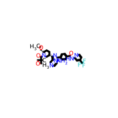 COC[C@@H]1CC[C@H](C2=C3C=NC=C[N+]3(N)C(c3ccc(C(=O)Nc4cc(C(F)(F)F)ccn4)cc3)=N2)CN1C(=O)C1(C)COC1